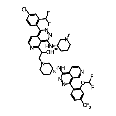 CN1CCC[C@@H](Nc2nnc(-c3ccc(Cl)cc3C(F)F)c3ccnc(C(O)CN4CCC[C@@H](Nc5nnc(-c6ccc(C(F)(F)F)cc6OC(F)F)c6cnccc56)C4)c23)C1